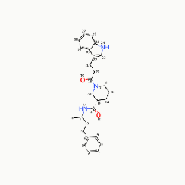 C[C@H](CCc1ccccc1)NC(=O)[C@H]1CCCN(C(=O)CCc2c[nH]c3ccccc23)C1